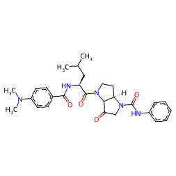 CC(C)C[C@H](NC(=O)c1ccc(N(C)C)cc1)C(=O)N1CC[C@@H]2C1C(=O)CN2C(=O)Nc1ccccc1